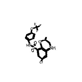 CC1CNc2cc(Cl)cc(S(=O)(=O)Nc3ccc(OC(F)(F)F)cc3)c2O1